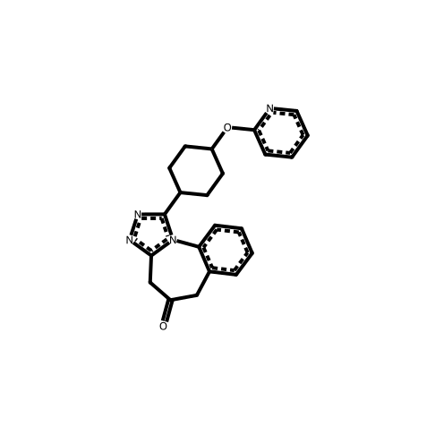 O=C1Cc2ccccc2-n2c(nnc2C2CCC(Oc3ccccn3)CC2)C1